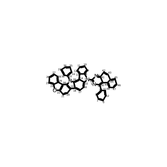 c1ccc(-c2nc(-n3c4ccccc4c4c3ccc3c5ccc6oc7ccccc7c6c5n(-c5ccccc5)c34)nc3ccc4ccccc4c23)cc1